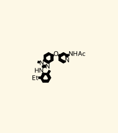 CCc1cccc(C)c1Nc1nc2cc(Oc3ccnc(NC(C)=O)c3)ccc2n1C